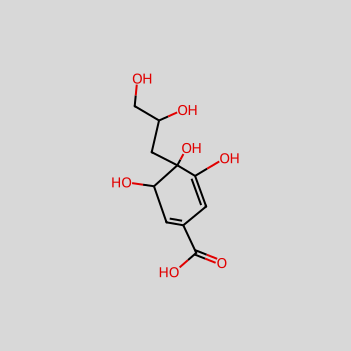 O=C(O)C1=CC(O)C(O)(CC(O)CO)C(O)=C1